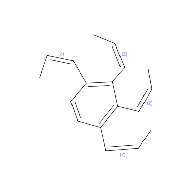 C/C=C\c1[c]cc(/C=C\C)c(/C=C\C)c1/C=C\C